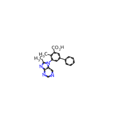 Cc1c(C(=O)O)cc(-c2ccccc2)cc1-n1c(C)nc2ncncc21